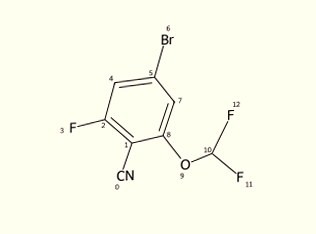 N#Cc1c(F)cc(Br)cc1OC(F)F